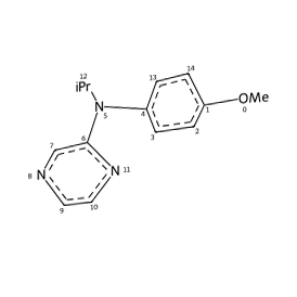 COc1ccc(N(c2cnccn2)C(C)C)cc1